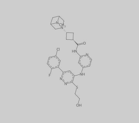 CN1C2CC1CN([C@H]1C[C@H](C(=O)Nc3cc(Nc4cc(-c5cc(Cl)ccc5F)nnc4SCCO)ccn3)C1)C2